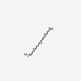 NCCCOCCCCOCCCCOCCCS